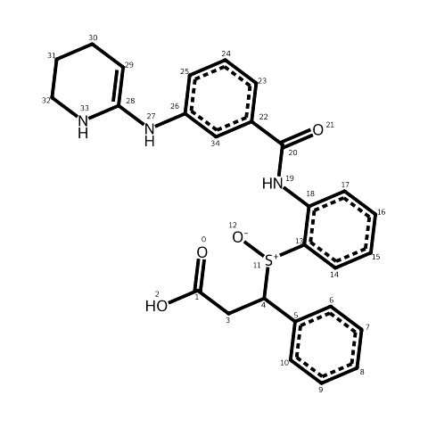 O=C(O)CC(c1ccccc1)[S+]([O-])c1ccccc1NC(=O)c1cccc(NC2=CCCCN2)c1